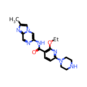 CCOc1nc(N2CCNCC2)ccc1C(=O)Nc1cn2cc(C)nc2cn1